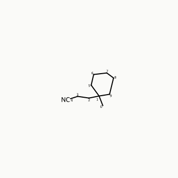 CC1(CCC#N)CCCCC1